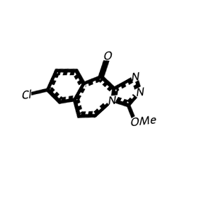 COc1nnc2c(=O)c3ccc(Cl)cc3ccn12